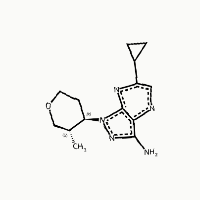 C[C@@H]1COCC[C@H]1n1nc(N)c2ncc(C3CC3)nc21